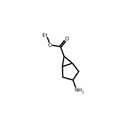 CCOC(=O)C1C2CC(N)CC21